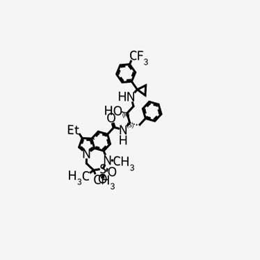 CCc1cn2c3c(cc(C(=O)N[C@@H](Cc4ccccc4)[C@H](O)CNC4(c5cccc(C(F)(F)F)c5)CC4)cc13)N(C)S(=O)(=O)C(C)(C)C2